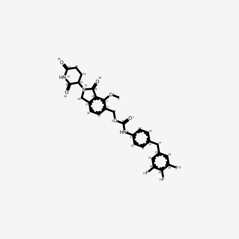 COc1c(COC(=O)Nc2ccc(Cc3cc(F)c(F)c(F)c3)cc2)ccc2c1C(=O)N(C1CCC(=O)NC1=O)C2